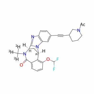 [2H]C([2H])([2H])N1C(=O)c2cccc(OC(F)F)c2[C@H]2C[C@@H]1c1nc3ccc(C#CC4CCCN(C(C)=O)C4)cc3n12